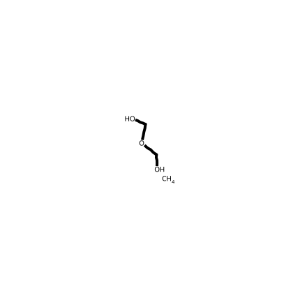 C.OCOCO